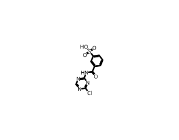 O=C(Nc1ncnc(Cl)n1)c1cccc(S(=O)(=O)O)c1